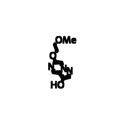 COCCOc1cn2ncc(O)c2cn1